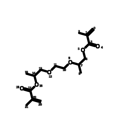 C=C(C)C(=O)OCC(C)OCCOCC(C)OC(=O)C(=C)C